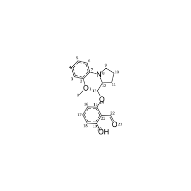 COc1ccccc1N1CCCC1COc1cccc(O)c1C=O